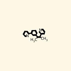 CC(=C(C)c1cccc(-c2ccccn2)c1)c1cccnc1